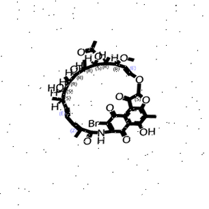 CO[C@H]1/C=C/O[C@@]2(C)Oc3c(C)c(O)c4c(c3C2=O)C(=O)C(Br)=C(NC(=O)/C(C)=C\C=C\[C@H](C)[C@H](O)[C@@H](C)[C@@H](O)[C@@H](C)[C@H](OC(C)=O)[C@@H]1C)C4=O